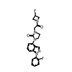 O=C(CN1CCN(c2cccc3c2cnn3-c2ccccc2F)C1=O)N1CC(F)C1